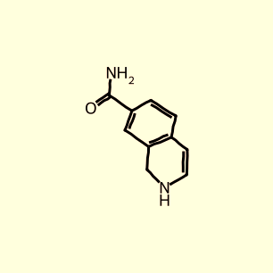 NC(=O)c1ccc2c(c1)CNC=C2